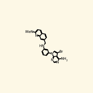 CNc1ccc2ccc(CNc3cccc(-n4cc(Br)c5c(N)ncnc54)c3)cc2n1